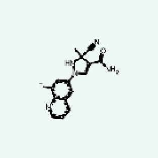 CC1(C#N)NN(c2cc(F)c3ncccc3c2)C=C1C(N)=O